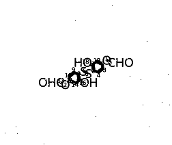 O=COc1ccc(SSc2ccc(OC=O)cc2O)c(O)c1